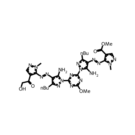 CCCCc1nn(-c2nc(OC)nc(-n3nc(CCCC)c(/N=N/c4c(C(=O)OC)cnn4C)c3N)n2)c(N)c1/N=N/c1c(C(=O)CO)cnn1C